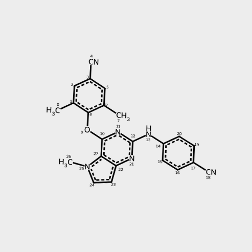 Cc1cc(C#N)cc(C)c1Oc1nc(Nc2ccc(C#N)cc2)nc2ccn(C)c12